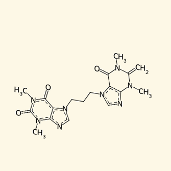 C=C1N(C)C(=O)c2c(ncn2CCCn2cnc3c2c(=O)n(C)c(=O)n3C)N1C